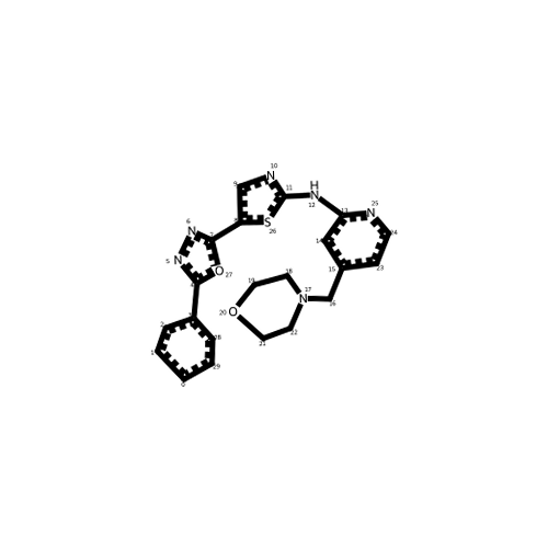 c1ccc(-c2nnc(-c3cnc(Nc4cc(CN5CCOCC5)ccn4)s3)o2)cc1